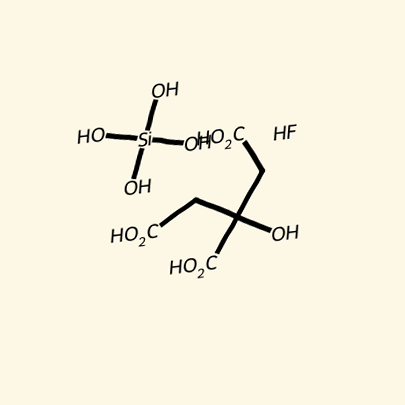 F.O=C(O)CC(O)(CC(=O)O)C(=O)O.O[Si](O)(O)O